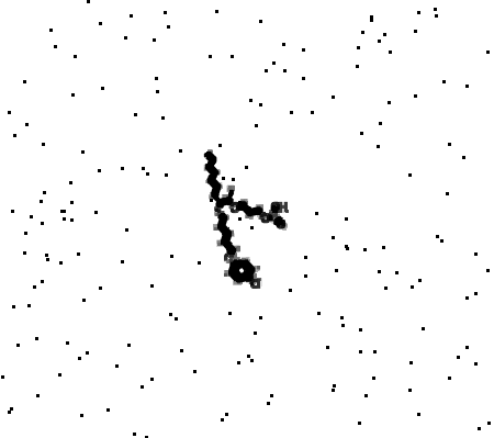 CCCCCCC[C@H](SCCCCCOc1ccc(Cl)cc1)[C@@H](C)OCCCO[P](=O)O